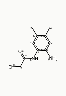 Cc1cc(N)c(NC(=O)CCl)cc1C